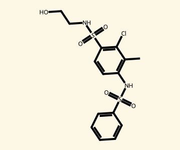 Cc1c(NS(=O)(=O)c2ccccc2)ccc(S(=O)(=O)NCCO)c1Cl